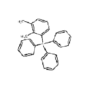 Cc1cccc([Si](c2ccccc2)(c2ccccc2)c2ccccc2)c1C